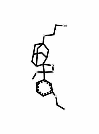 CCOc1cccc(C2(OC)OOC23C2CC4CC3CC(OCCO)(C4)C2)c1